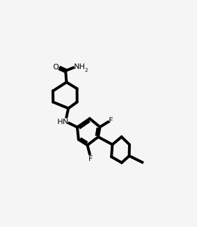 CC1CCC(c2c(F)cc(NC3CCC(C(N)=O)CC3)cc2F)CC1